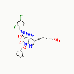 Nc1c(C(=O)NCc2ccc(F)cc2F)c(=O)n(OCc2ccccc2)c2ncc(C#CCCCCO)cc12